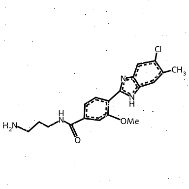 COc1cc(C(=O)NCCCN)ccc1-c1nc2cc(Cl)c(C)cc2[nH]1